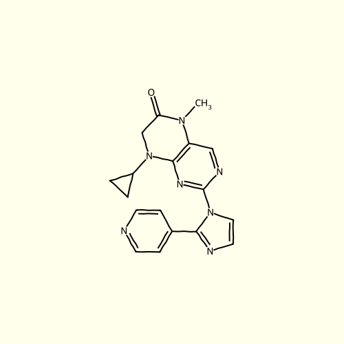 CN1C(=O)CN(C2CC2)c2nc(-n3ccnc3-c3ccncc3)ncc21